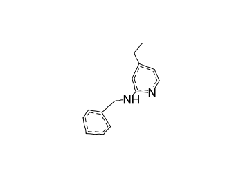 CCc1ccnc(NCc2ccccc2)c1